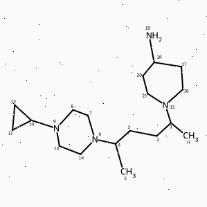 CC(CCC(C)N1CCN(C2CC2)CC1)N1CCC(N)CC1